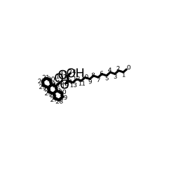 CCCCCCCCCCCCCCC(OC(=O)c1c2ccccc2cc2ccccc12)C(=O)O